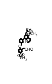 CC(Cc1cc(-c2cccc(COc3ccc(S(C)(=O)=O)cc3CC=O)c2)c2ncccc2c1)S(C)(=O)=O